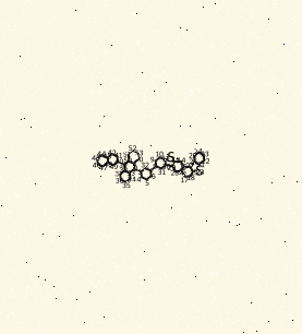 C1=c2c(-c3cccc(-c4ccc5sc6cc7c(ccc8sc9ccccc9c87)cc6c5c4)c3)c3ccccc3c(-c3ccc4ccccc4c3)c2=CCC1